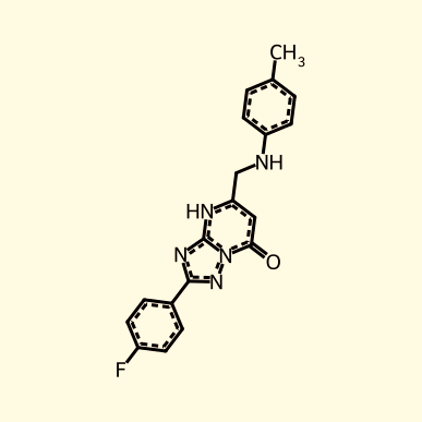 Cc1ccc(NCc2cc(=O)n3nc(-c4ccc(F)cc4)nc3[nH]2)cc1